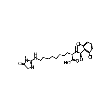 CN1C(=O)CN=C1NCCCCCCCC[C@@H](NC(=O)c1c(Cl)cccc1Cl)C(=O)O